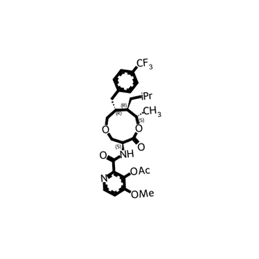 COc1ccnc(C(=O)N[C@H]2COC[C@H](Cc3ccc(C(F)(F)F)cc3)[C@@H](CC(C)C)[C@H](C)OC2=O)c1OC(C)=O